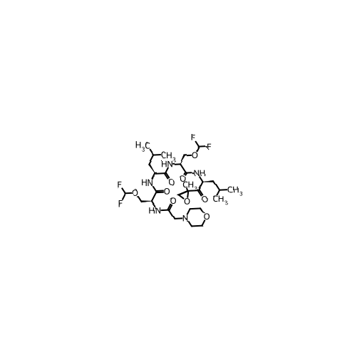 CC(C)C[C@H](NC(=O)[C@H](COC(F)F)NC(=O)CN1CCOCC1)C(=O)N[C@@H](COC(F)F)C(=O)N[C@@H](CC(C)C)C(=O)C1(C)CO1